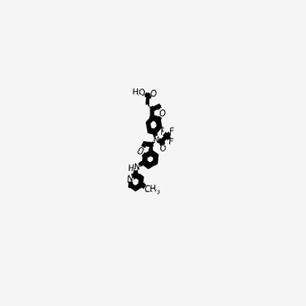 Cc1ccnc(Nc2cccc3c2OC[C@H]3N(C(=O)C(F)(F)F)c2ccc3c(c2)OC[C@H]3CC(=O)O)c1